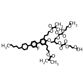 C=C(C)C(=O)OCCCc1cc(-c2ccc(C3CCC(CCCCC)CC3)cc2F)cc(CCCOC(=O)C(=C)C)c1OCC(COC(=O)C(=O)OCCOC)COC(=O)C(=O)OCCOC